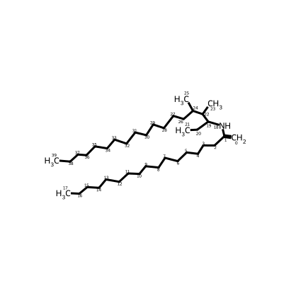 C=C(CCCCCCCCCCCCCCCC)NC(CC)C(C)C(C)CCCCCCCCCCCCCC